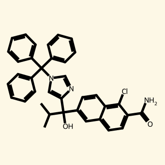 CC(C)C(O)(c1ccc2c(Cl)c(C(N)=O)ccc2c1)c1cn(C(c2ccccc2)(c2ccccc2)c2ccccc2)cn1